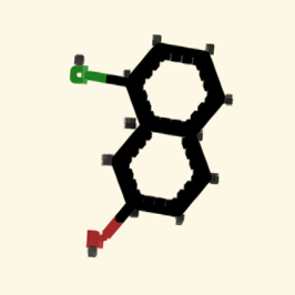 Clc1cccc2ccc(Br)cc12